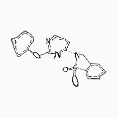 O=S1(=O)c2ccccc2CN1c1ccnc(Oc2ccccc2)n1